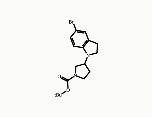 CC(C)(C)OC(=O)N1CCC(N2CCc3cc(Br)ccc32)C1